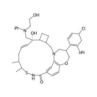 CCCC1=C(C2COc3ccc4cc3N(C2)CC2CCC2[C@](O)(CN(CCO)C(C)C)/C=C/CC(C)C(C)SNC4=O)C=CC(Cl)C1